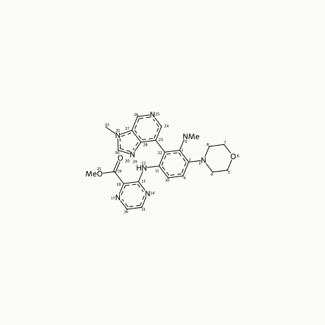 CNc1c(N2CCOCC2)ccc(Nc2nccnc2C(=O)OC)c1-c1cncc2c1ncn2C